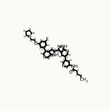 CCCCC(=O)Nc1cncc(-c2cnc3[nH]nc(-c4cc5c(-c6cc(F)cc(OCCN7CCCC7)c6)cncc5[nH]4)c3c2)c1